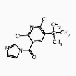 C[Si](C)(C)c1cc(C(=O)n2ccnc2)c(Cl)nc1Cl